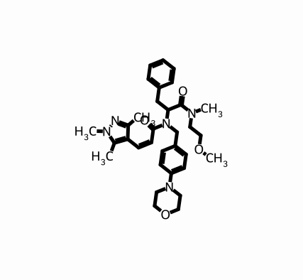 COCCN(C)C(=O)C(Cc1ccccc1)N(Cc1ccc(N2CCOCC2)cc1)C(=O)C=Cc1c(C)nn(C)c1C